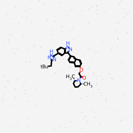 C[C@@H]1CCC[C@H](C)N1C(=O)COc1ccc2cc(-c3n[nH]c4ccc(-c5nc(CC(C)(C)C)n[nH]5)cc34)ccc2c1